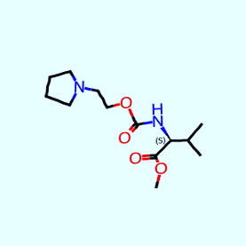 COC(=O)[C@@H](NC(=O)OCCN1CCCC1)C(C)C